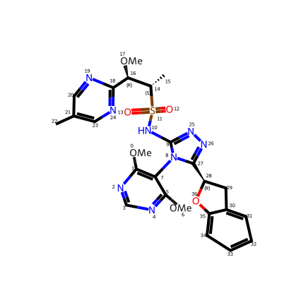 COc1ncnc(OC)c1-n1c(NS(=O)(=O)[C@@H](C)[C@H](OC)c2ncc(C)cn2)nnc1[C@H]1Cc2ccccc2O1